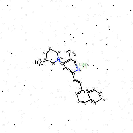 Cc1cnc(C=Cc2cccc3ccccc23)cc1N1CCCC(C)C1.Cl